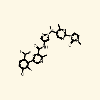 Cc1nc(-n2ccn(C)c2=O)ncc1[C@H](C)n1cc(NC(=O)c2nc(-c3c(C(F)F)ccc(Cl)c3F)cnc2C)cn1